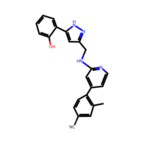 Cc1cc(C#N)ccc1-c1ccnc(NCc2cc(-c3ccccc3O)[nH]n2)c1